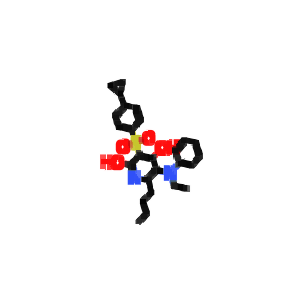 CCCCc1nc(O)c(S(=O)(=O)c2ccc(C3CC3)cc2)c(O)c1N(CC)c1ccccc1